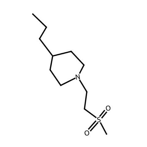 CCCC1CCN(CCS(C)(=O)=O)CC1